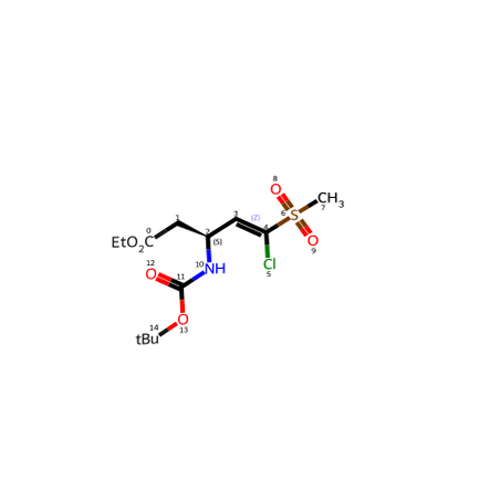 CCOC(=O)C[C@@H](/C=C(\Cl)S(C)(=O)=O)NC(=O)OC(C)(C)C